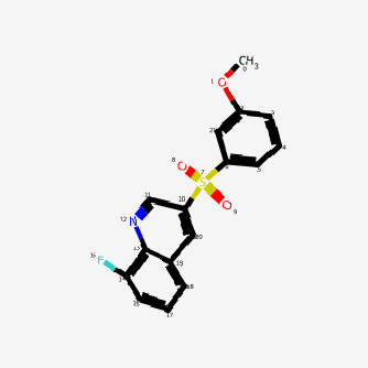 COc1cccc(S(=O)(=O)c2cnc3c(F)cccc3c2)c1